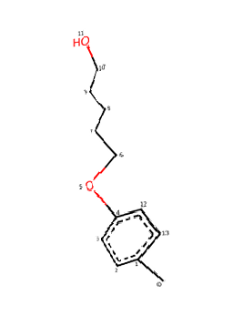 Cc1ccc(OCCCCCO)cc1